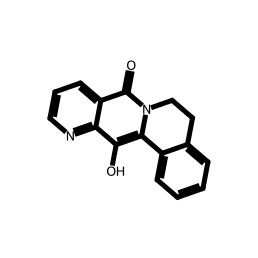 O=c1c2cccnc2c(O)c2n1CCc1ccccc1-2